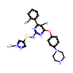 CCc1c(Oc2ccc(N3CCNCC3)cc2)nc(NSc2cnn(C)c2)nc1-c1ccccc1C(C)C